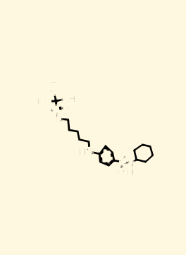 CC(C)(C)S(=O)(=O)NCCCCCNc1ccc(S(=O)(=O)NC2CCCCC2)cc1